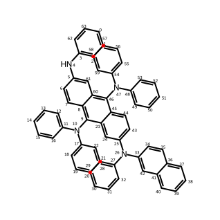 c1ccc(Nc2ccc3c(N(c4ccccc4)c4ccccc4)c4cc(N(c5ccccc5)c5ccc6ccccc6c5)ccc4c(N(c4ccccc4)c4ccccc4)c3c2)cc1